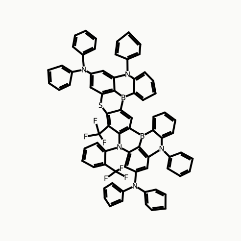 FC(F)(F)c1ccccc1N1c2cc(N(c3ccccc3)c3ccccc3)cc3c2B(c2ccccc2N3c2ccccc2)c2cc3c(c(C(F)(F)F)c21)Sc1cc(N(c2ccccc2)c2ccccc2)cc2c1B3c1ccccc1N2c1ccccc1